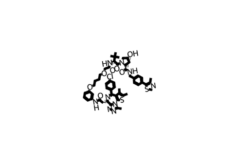 Cc1ncsc1-c1ccc(CNC(=O)[C@@H]2C[C@@H](O)CN2C(=O)[C@@H](NC(=O)COCCCCOc2cccc(NC(=O)C[C@@H]3N=C(c4ccc(Cl)cc4)c4c(sc(C)c4C)-n4c(C)nnc43)c2)C(C)(C)C)cc1